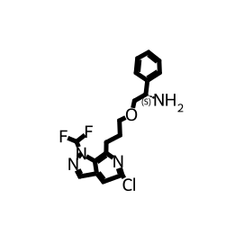 N[C@H](COCCCc1nc(Cl)cc2cnn(C(F)F)c12)c1ccccc1